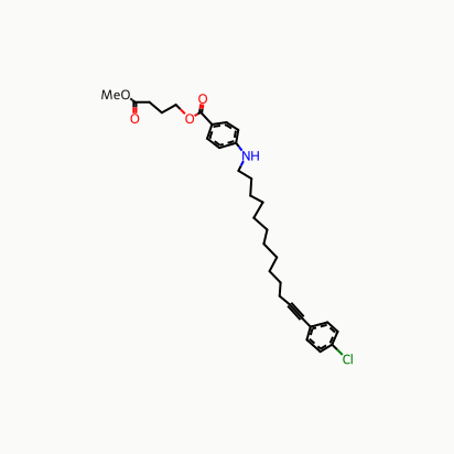 COC(=O)CCCOC(=O)c1ccc(NCCCCCCCCCCCC#Cc2ccc(Cl)cc2)cc1